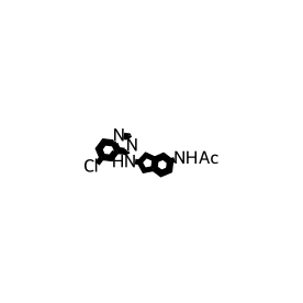 CC(=O)Nc1ccc2c(c1)CC(Nc1ncnc3ccc(Cl)cc13)C2